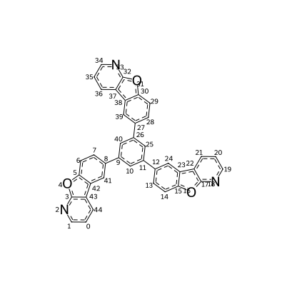 c1cnc2oc3ccc(-c4cc(-c5ccc6oc7ncccc7c6c5)cc(-c5ccc6oc7ncccc7c6c5)c4)cc3c2c1